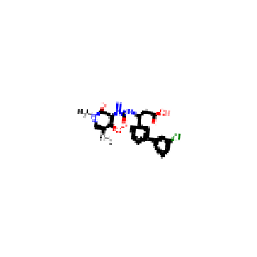 CC1=CN(C)C(=O)C(NC(=O)NC(CC(=O)O)c2cccc(-c3cccc(Cl)c3)c2)C1=O